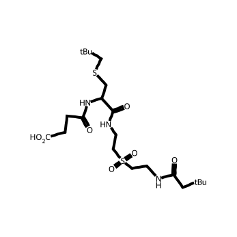 CC(C)(C)CSCC(NC(=O)CCC(=O)O)C(=O)NCCS(=O)(=O)CCNC(=O)CC(C)(C)C